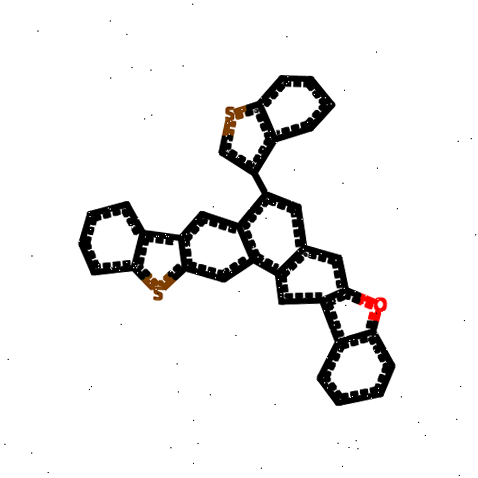 c1ccc2c(c1)oc1cc3cc(-c4csc5ccccc45)c4cc5c(cc4c3cc12)sc1ccccc15